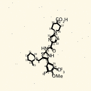 COc1c(F)cc(C2=C(CN3CCCCC3C)SC(NC(=O)c3cnc(N4CCC(C(=O)O)CC4)cn3)N2)cc1C(F)(F)F